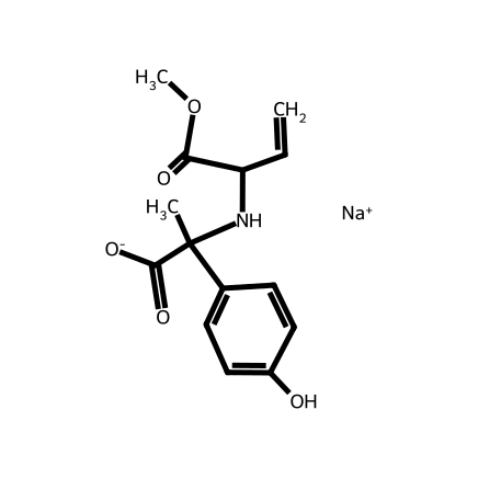 C=CC(NC(C)(C(=O)[O-])c1ccc(O)cc1)C(=O)OC.[Na+]